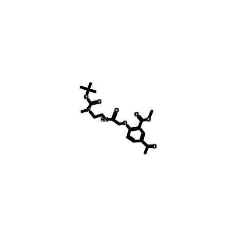 COC(=O)c1cc(C(C)=O)ccc1OCC(=O)NCCN(C)C(=O)OC(C)(C)C